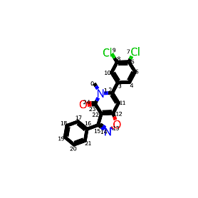 Cn1c(-c2ccc(Cl)c(Cl)c2)cc2onc(-c3ccccc3)c2c1=O